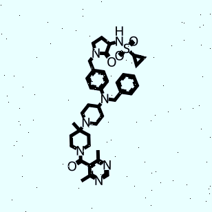 Cc1ncnc(C)c1C(=O)N1CCC(C)(N2CCC(N(Cc3ccccc3)c3ccc(CN4CCC(NS(=O)(=O)C5CC5)C4=O)cc3)CC2)CC1